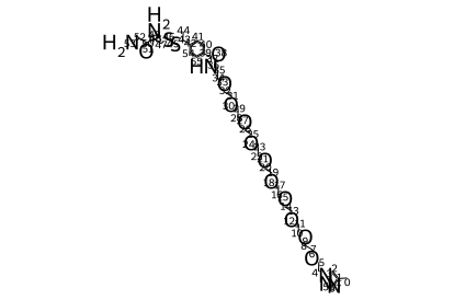 Cc1cn(CCOCCOCCOCCOCCOCCOCCOCCOCCOCCOCCNC(=O)c2ccc(C(C)SSC[C@H](N)C(=O)CN)cc2)nn1